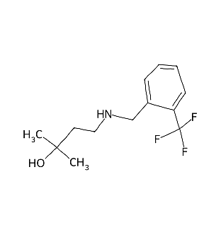 CC(C)(O)CCNCc1ccccc1C(F)(F)F